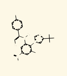 N/C=C(/c1ccc(Cl)cc1)N(N)c1cc([N+](=O)[O-])cc(Cl)c1-n1cnc(C(F)(F)F)c1